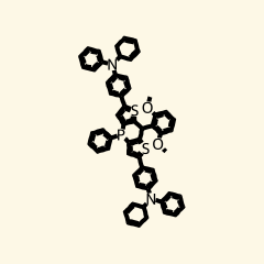 COc1cccc(OC)c1C1c2sc(-c3ccc(N(c4ccccc4)C4C=CC=CC4)cc3)cc2P(c2ccccc2)c2cc(-c3ccc(N(c4ccccc4)C4C=CC=CC4)cc3)sc21